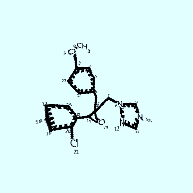 COc1ccc(C2(Cn3cncn3)OC2c2ccccc2Cl)cc1